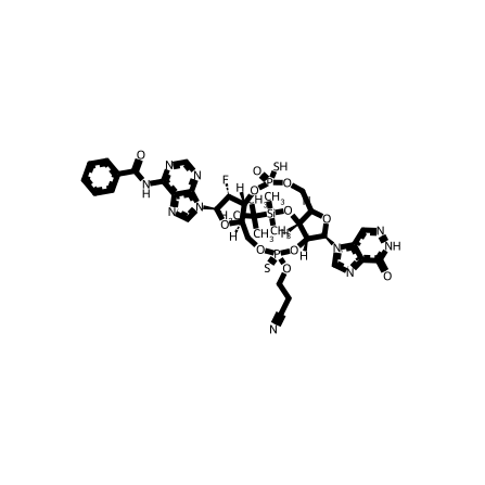 CC(C)(C)[Si](C)(C)O[C@H]1[C@H]2OP(=S)(OCCC#N)OC[C@H]3O[C@@H](n4cnc5c(NC(=O)c6ccccc6)ncnc54)[C@H](F)[C@@H]3OP(=O)(S)OC[C@H]1O[C@H]2n1cnc2c(=O)[nH]ncc21